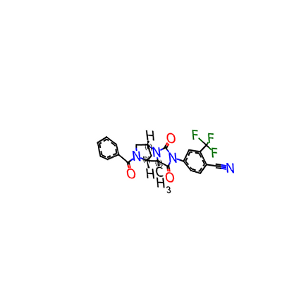 C[C@]12C(=O)N(c3ccc(C#N)c(C(F)(F)F)c3)C(=O)N1[C@@H]1C[C@H]2N(C(=O)c2ccccc2)C1